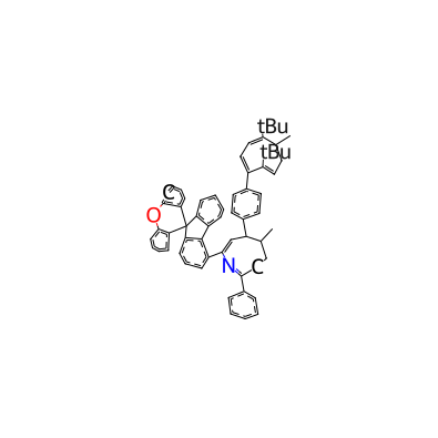 CC1C/C=C(C(C)(C)C)/C(c2ccc(C3/C=C(c4cccc5c4-c4ccccc4C54c5ccccc5Oc5ccccc54)\N=C(\c4ccccc4)CCC3C)cc2)=C\C=C/1C(C)(C)C